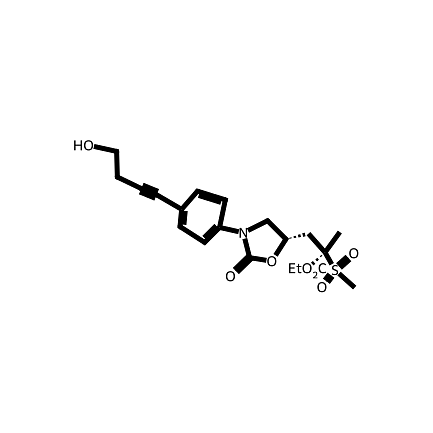 CCOC(=O)[C@@](C)(C[C@H]1CN(c2ccc(C#CCCO)cc2)C(=O)O1)S(C)(=O)=O